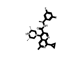 Cc1cc2c(N3C[C@@H](C)N[C@@H](C)C3)c(C(=O)N[C@@H](C)c3cc(F)cc(F)c3)cnc2c(C2CC2)n1